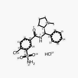 CN1CCC[C@@H]1C(NC(=O)c1ccc(Cl)c(S(N)(=O)=O)c1)c1ccccc1.Cl